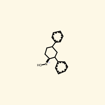 O/N=C1\CCC(c2ccccc2)CC1c1ccccc1